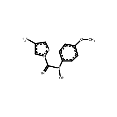 COc1ccc(N(O)C(=N)n2cc(N)cn2)cc1